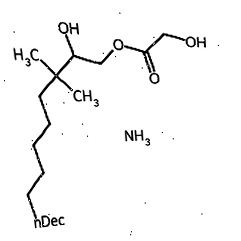 CCCCCCCCCCCCCCCC(C)(C)C(O)COC(=O)CO.N